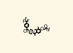 Cc1c(OCC(=O)N(C)C)ccc(C(C)N2CCN(C(=O)c3ccc(C(F)(F)F)cc3)CC2)c1C